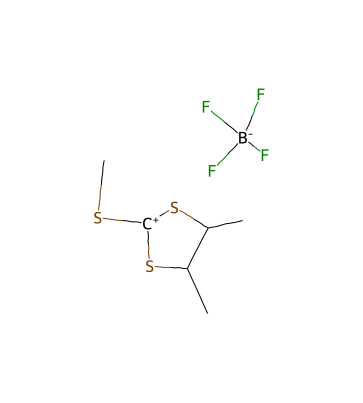 CS[C+]1SC(C)C(C)S1.F[B-](F)(F)F